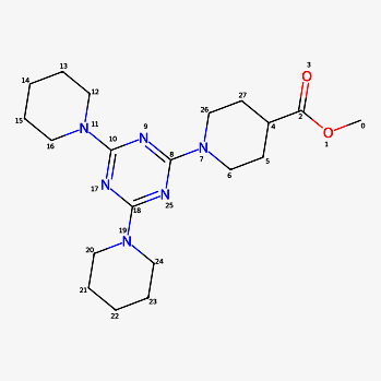 COC(=O)C1CCN(c2nc(N3CCCCC3)nc(N3CCCCC3)n2)CC1